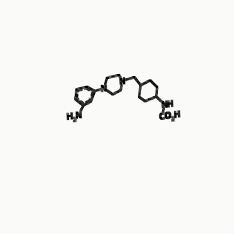 Nc1cccc(N2CCN(CC3CCC(NC(=O)O)CC3)CC2)c1